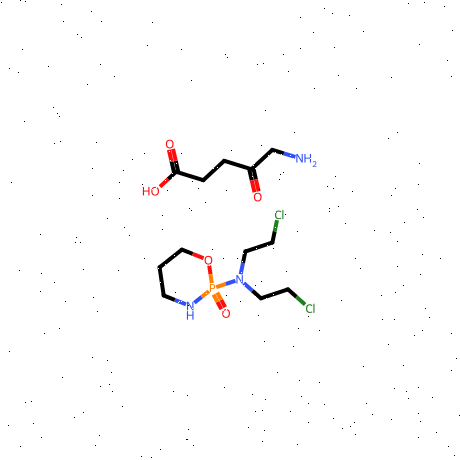 NCC(=O)CCC(=O)O.O=P1(N(CCCl)CCCl)NCCCO1